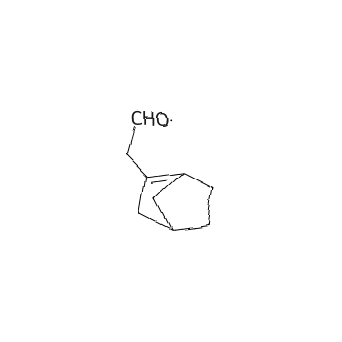 O=[C]CC1=C2CCC(C1)C2